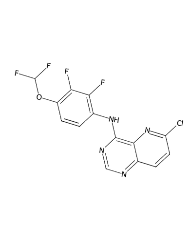 Fc1c(Nc2ncnc3ccc(Cl)nc23)ccc(OC(F)F)c1F